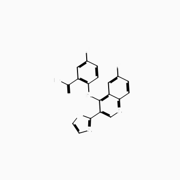 O=C(O)c1cc(Cl)ccc1Nc1c(-c2ncco2)cnc2ccc(Br)cc12